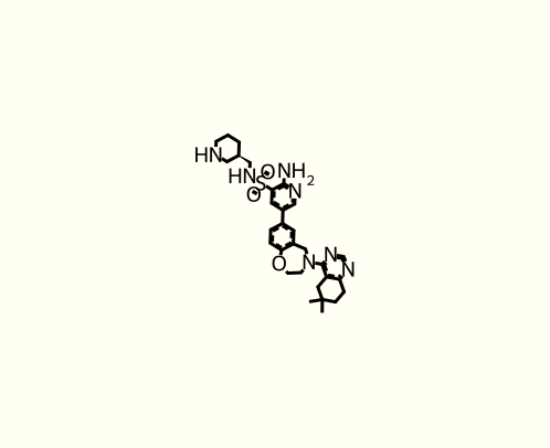 CC1(C)CCc2ncnc(N3CCOc4ccc(-c5cnc(N)c(S(=O)(=O)NC[C@@H]6CCCNC6)c5)cc4C3)c2C1